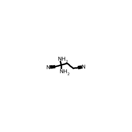 N#CCCC(N)(N)C#N